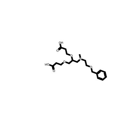 CN(CCOCc1ccccc1)CC(COCCC(=O)O)OCCC(=O)O